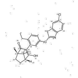 CCc1ccc(Oc2nc3ccc(Cl)cc3s2)cc1C1=C(O)[C@@H]2CC[C@](C)(C1=O)C2(C)C